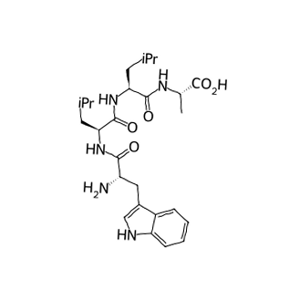 CC(C)C[C@H](NC(=O)[C@H](CC(C)C)NC(=O)[C@@H](N)Cc1c[nH]c2ccccc12)C(=O)N[C@@H](C)C(=O)O